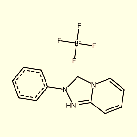 C1=CC2=[NH+]N(c3ccccc3)CN2C=C1.F[B-](F)(F)F